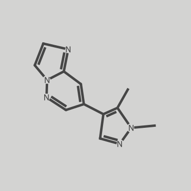 Cc1c(-c2cnn3ccnc3c2)cnn1C